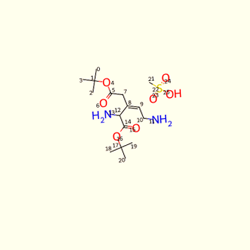 CC(C)(C)OC(=O)CC(=CCN)C(N)C(=O)OC(C)(C)C.CS(=O)(=O)O